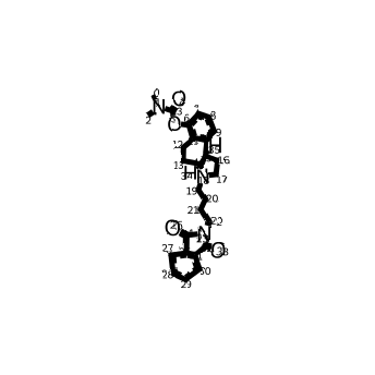 CN(C)C(=O)Oc1cccc2c1CC[C@@H]1[C@H]2CCN1CCCCN1C(=O)c2ccccc2C1=O